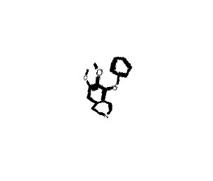 COc1cc2c(c(Sc3ccccc3)c1OC)C=CN=CC2